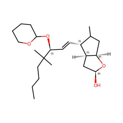 CCCCC(C)(C)[C@H](C=C[C@@H]1C(C)C[C@H]2O[C@@H](O)C[C@@H]12)OC1CCCCO1